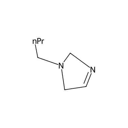 CCCCN1CC=NC1